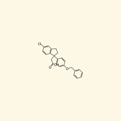 O=C(O)CC1(c2ccc(OCc3ccccc3)cc2)CCc2cc(Cl)ccc21